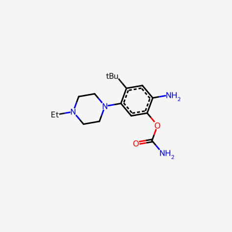 CCN1CCN(c2cc(OC(N)=O)c(N)cc2C(C)(C)C)CC1